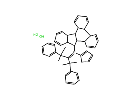 CC(C)([C](=[Zr]([C]1=CC=CC1)[CH]1C2C=CC=CC2C2C3C=CC=CC3C3C=CC=CC3C21)C(C)(C)c1ccccc1)c1ccccc1.Cl.Cl